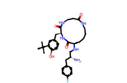 CC(C)(C)c1cc(C[C@@H]2NC(=O)C(NC[C@H](N)Cc3ccc(F)cc3)CCCCNC(=O)CCNC2=O)ccc1O